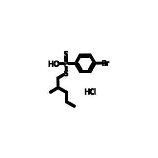 CCCC(C)CSP(O)(=S)c1ccc(Br)cc1.Cl